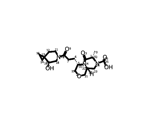 C[C@H]1C(=O)N2[C@@H](CCC(=O)N3CCC4(CC4)[C@H](O)C3)COC[C@H]2CN1C(=O)O